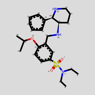 CCN(CC)S(=O)(=O)c1ccc(OC(C)C)c(CN[C@@H]2CCCN[C@@H]2c2ccccc2)c1